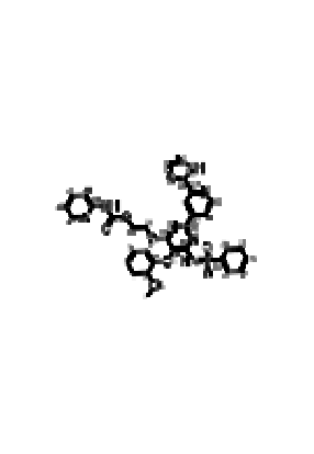 COc1ccccc1Oc1c(NS(=O)(=O)c2ccccc2)nc(-c2ccnc(-c3nnn[nH]3)c2)nc1OCCOC(=O)Nc1ccccn1